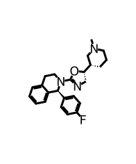 CN1CCC[C@H]([C@@H]2CN=C(N3CCc4ccccc4[C@@H]3c3ccc(F)cc3)O2)C1